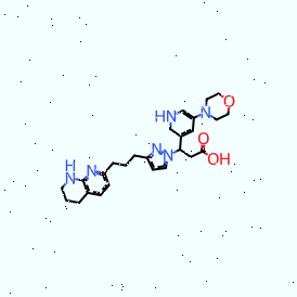 O=C(O)CC(C1=CC(N2CCOCC2)=CNC1)n1ccc(CCCc2ccc3c(n2)NCCC3)n1